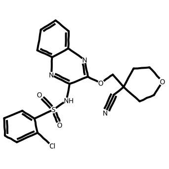 N#CC1(COc2nc3ccccc3nc2NS(=O)(=O)c2ccccc2Cl)CCOCC1